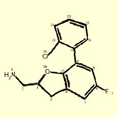 NCC1Cc2cc(F)cc(-c3ccccc3Cl)c2O1